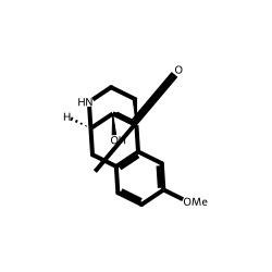 COc1ccc2c(c1)[C@]13CCN[C@H](C2)[C@]1(O)CCC(=O)C3